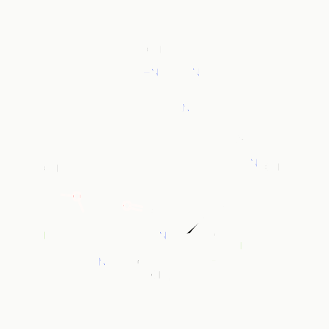 CCOc1cc([C@@H](C)N2C[C@]3(CC3(F)F)c3c(CN(C)C)cc(Cn4ccnc4NC)cc3C2=O)ncc1F